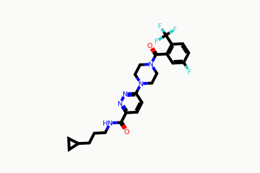 O=C(NCCCC1CC1)c1ccc(N2CCN(C(=O)c3cc(F)ccc3C(F)(F)F)CC2)nn1